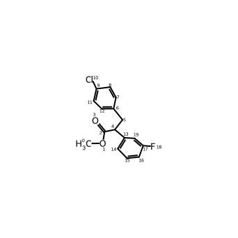 COC(=O)C(Cc1ccc(Cl)cc1)c1cccc(F)c1